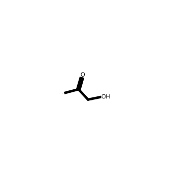 [CH2]C(=O)CO